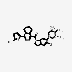 Cc1cccc(-c2ccc(C(=O)N3CCc4cc(Cl)c(N5C[C@@H](C)N(C)[C@@H](C)C5)cc43)c3ccccc23)n1